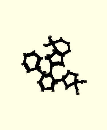 CC1(C)OCCc2nc(-c3c(-c4ccccc4)ccnc3N3CCC(F)(F)C3)[nH]c21